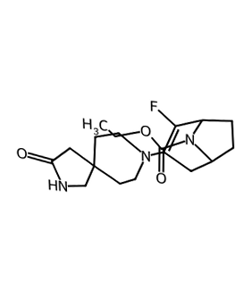 CCOC(=O)N1C2CCC1C(F)=C(N1CCC3(CC1)CNC(=O)C3)C2